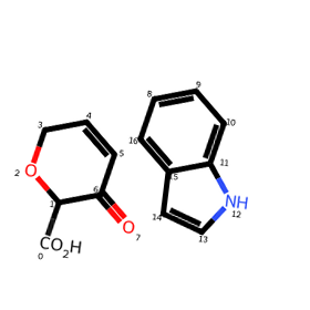 O=C(O)C1OCC=CC1=O.c1ccc2[nH]ccc2c1